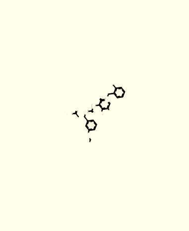 CCOc1cccc([C@H](CC(=O)O)NC(=O)Nc2c(O)c(C)cn(Cc3ccccc3Cl)c2=O)c1